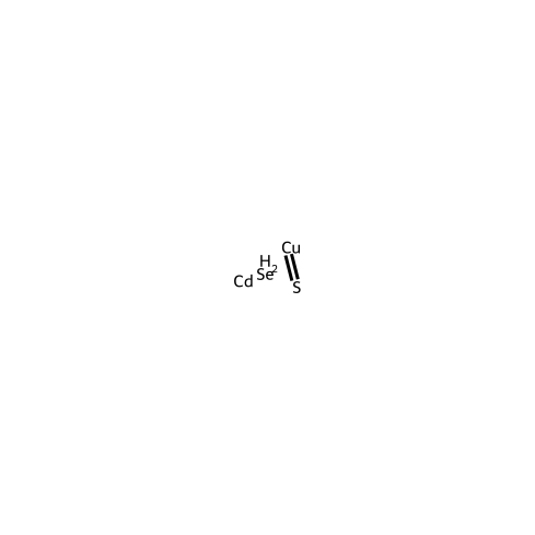 [Cd].[S]=[Cu].[SeH2]